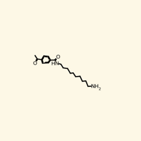 CC(=O)c1ccc(C(=O)NCCCCCCCCCCN)cc1